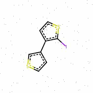 Ic1sccc1-c1ccsc1